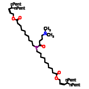 CCCCCC(/C=C\COC(=O)CCCCCCCCCP(CCCCCCCCCC(=O)OC/C=C\C(CCCCC)CCCCC)C(=O)CCCN(C)C)CCCCC